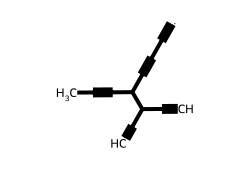 [C]#CC#CC(C#CC)C(C#C)C#C